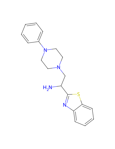 NC(CN1CCN(c2ccccc2)CC1)c1nc2ccccc2s1